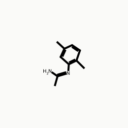 C/C(N)=N/c1cc(C)ccc1C